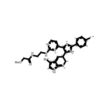 COCC(=O)NCCNc1nccc(-c2nc(-c3ccc(F)cc3)[nH]c2C2C=c3c(Br)c[nH]c3=NC2)n1